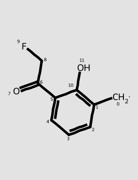 [CH2]c1cccc(C(=O)CF)c1O